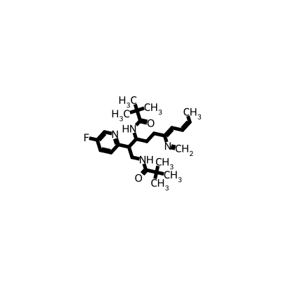 C=N/C(=C\C=C/C)CCC(NC(=O)C(C)(C)C)C(CNC(=O)C(C)(C)C)c1ccc(F)cn1